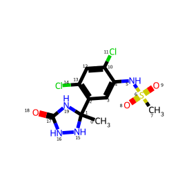 CC1(c2cc(NS(C)(=O)=O)c(Cl)cc2Cl)NNC(=O)N1